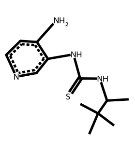 CC(NC(=S)Nc1cnccc1N)C(C)(C)C